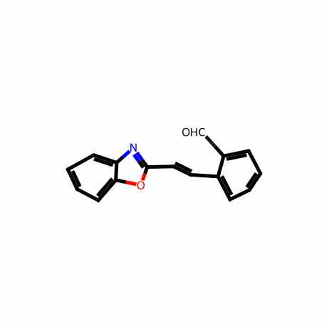 O=Cc1ccccc1C=Cc1nc2ccccc2o1